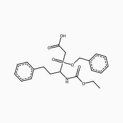 CCOC(=O)NC(CCc1ccccc1)P(=O)(CC(=O)O)OCc1ccccc1